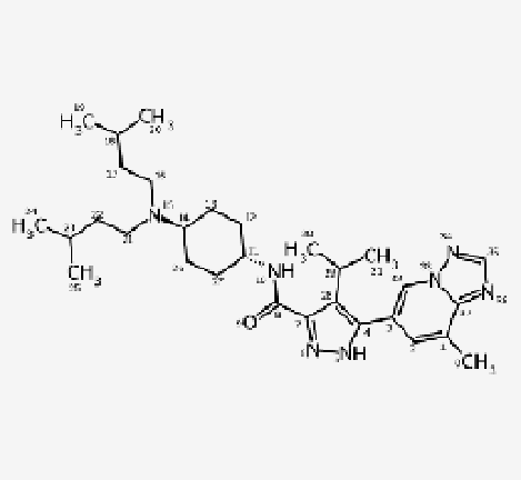 Cc1cc(-c2[nH]nc(C(=O)N[C@H]3CC[C@H](N(CCC(C)C)CCC(C)C)CC3)c2C(C)C)cn2ncnc12